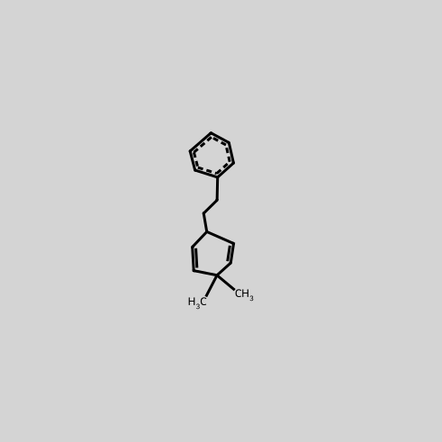 CC1(C)C=CC(CCc2ccccc2)C=C1